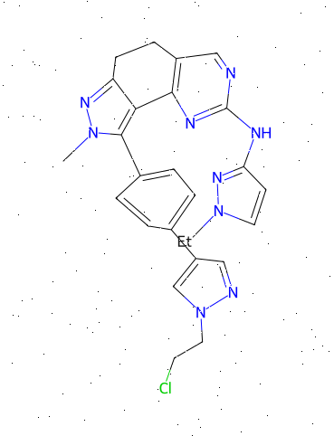 CCn1ccc(Nc2ncc3c(n2)-c2c(nn(C)c2-c2ccc(-c4cnn(CCCl)c4)cc2)CC3)n1